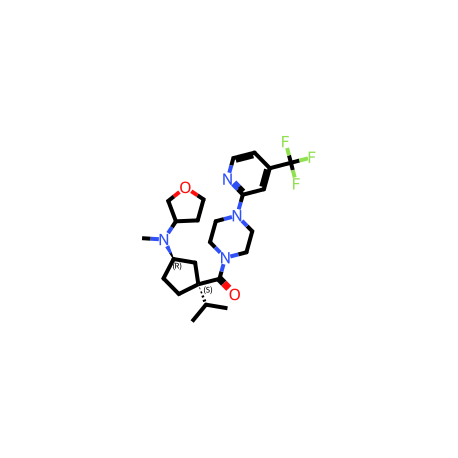 CC(C)[C@]1(C(=O)N2CCN(c3cc(C(F)(F)F)ccn3)CC2)CC[C@@H](N(C)C2CCOC2)C1